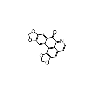 O=C1c2cc3c(cc2-c2c4c(cc5ccnc1c25)OCO4)OCO3